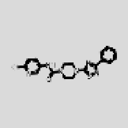 O=C(Nc1ccc(Cl)nc1)N1CCN(c2nc(-c3ccccc3)ns2)CC1